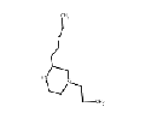 [CH2]CCN1CCNC(CCCCC)C1